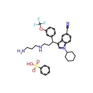 N#Cc1ccc2c(c1)c(C(CCNCCCN)c1cccc(OC(F)(F)F)c1)cn2C1CCCCC1.O=S(=O)(O)c1ccccc1